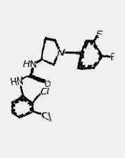 O=C(Nc1cccc(Cl)c1Cl)NC1CCN(c2ccc(F)c(F)c2)C1